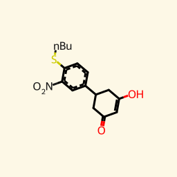 CCCCSc1ccc(C2CC(=O)C=C(O)C2)cc1[N+](=O)[O-]